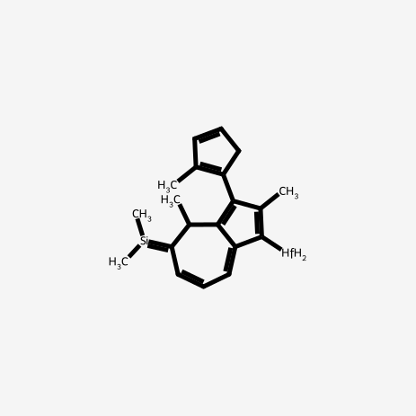 CC1=C(C2=C3C(=CC=CC(=[Si](C)C)C3C)[C]([HfH2])=C2C)CC=C1